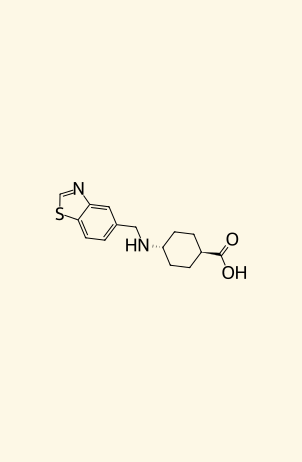 O=C(O)[C@H]1CC[C@H](NCc2ccc3scnc3c2)CC1